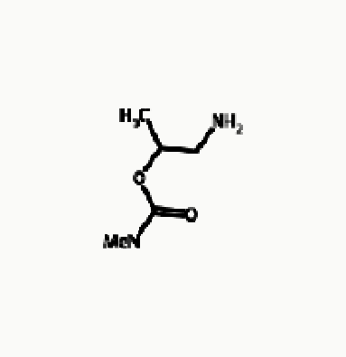 CNC(=O)OC(C)CN